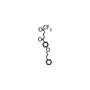 O=C(CCCC(=O)C(F)(F)F)c1ccc(OCCCc2ccccc2)cc1